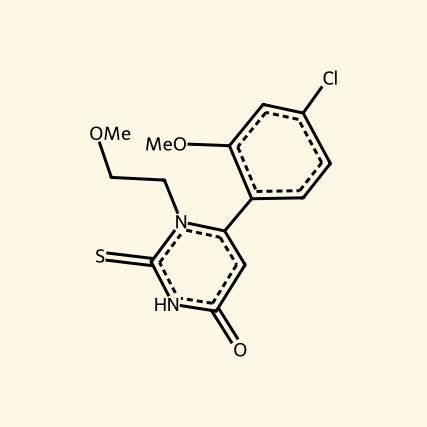 COCCn1c(-c2ccc(Cl)cc2OC)cc(=O)[nH]c1=S